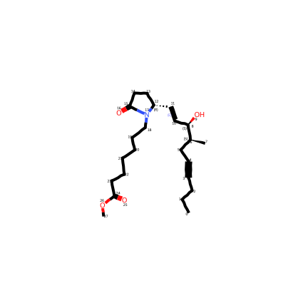 CCCC#CC[C@H](C)[C@H](O)/C=C/[C@H]1CCC(=O)N1CCCCCCC(=O)OC